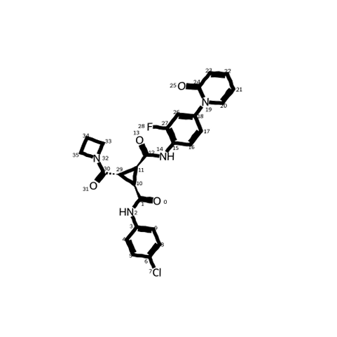 O=C(Nc1ccc(Cl)cc1)[C@@H]1[C@H](C(=O)Nc2ccc(-n3ccccc3=O)cc2F)[C@H]1C(=O)N1CCC1